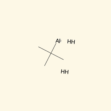 C[C](C)(C)[Al].[HH].[HH]